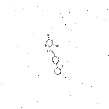 C[C@@H](Nc1ncc(Br)nc1Br)c1ccc(-c2ccccc2F)cc1